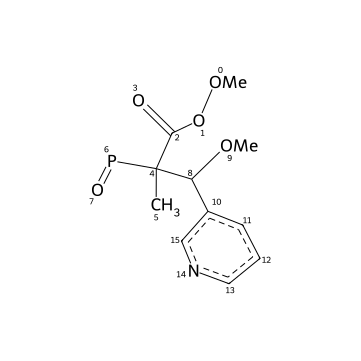 COOC(=O)C(C)(P=O)C(OC)c1cccnc1